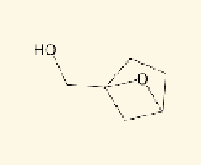 OCC12CCC(C1)O2